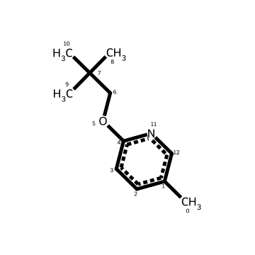 Cc1ccc(OCC(C)(C)C)nc1